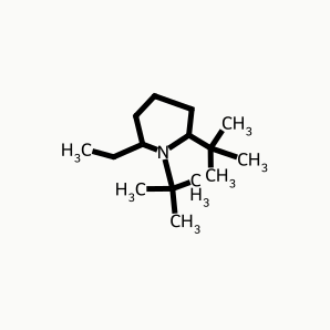 CCC1CCCC(C(C)(C)C)N1C(C)(C)C